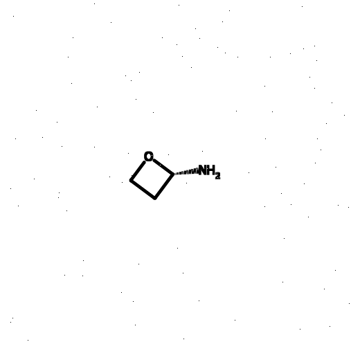 N[C@@H]1CCO1